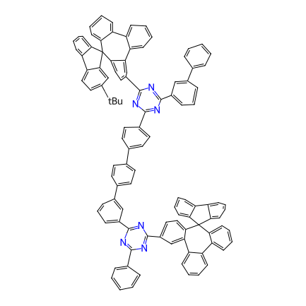 CC(C)(C)c1ccc2c(c1)C1(c3ccccc3-c3ccccc3-c3cc(-c4nc(-c5ccc(-c6ccc(-c7cccc(-c8nc(-c9ccccc9)nc(-c9ccc%10c(c9)-c9ccccc9-c9ccccc9C%109c%10ccccc%10-c%10ccccc%109)n8)c7)cc6)cc5)nc(-c5cccc(-c6ccccc6)c5)n4)ccc31)c1ccccc1-2